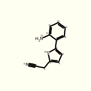 N#CCc1ccc(-c2ccccc2N)s1